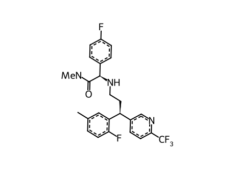 CNC(=O)[C@H](NCC[C@@H](c1ccc(C(F)(F)F)nc1)c1cc(C)ccc1F)c1ccc(F)cc1